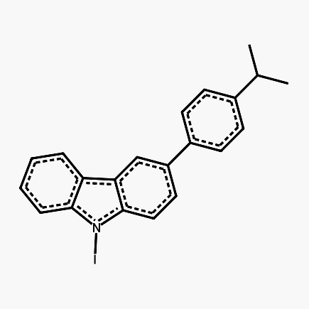 CC(C)c1ccc(-c2ccc3c(c2)c2ccccc2n3I)cc1